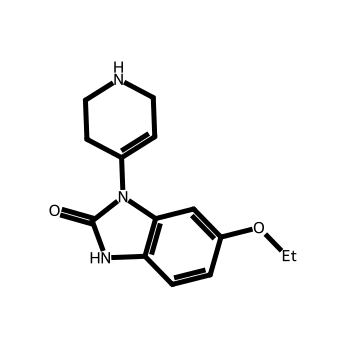 CCOc1ccc2[nH]c(=O)n(C3=CCNCC3)c2c1